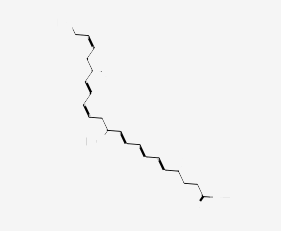 CC/C=C\C[C@H](O)/C=C/C=C\CC(O)/C=C/C=C/C=C/[C@@H](O)CCC(=O)O